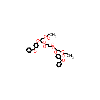 C=CC(=O)OCCC(COC(=O)CCC(=O)OCC(CCOC(=O)C=C)Oc1ccc(C(=O)c2ccccc2)cc1)Oc1ccc(C(=O)c2ccccc2)cc1